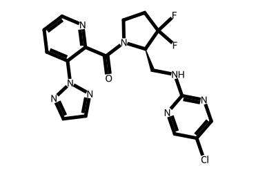 O=C(c1ncccc1-n1nccn1)N1CCC(F)(F)[C@H]1CNc1ncc(Cl)cn1